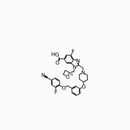 N#Cc1ccc(OCc2cccc(OC3CCN(Cc4nc5c(F)cc(C(=O)O)cc5n4C[C@@H]4CCO4)CC3)c2)c(F)c1